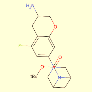 CC(C)(C)OC(=O)N1C2CC1CN(c1cc(F)c3c(c1)OCC(N)C3)C2